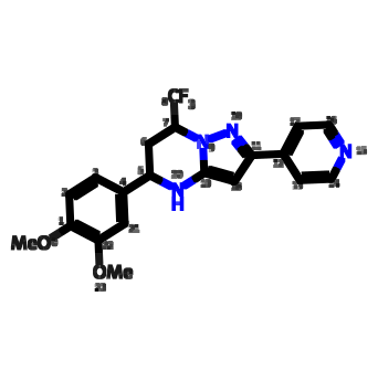 COc1ccc(C2CC(C(F)(F)F)n3nc(-c4ccncc4)cc3N2)cc1OC